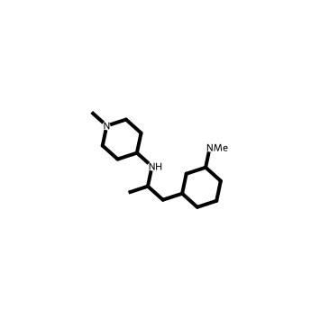 CNC1CCCC(CC(C)NC2CCN(C)CC2)C1